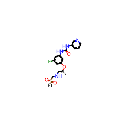 CCS(=O)(=O)CNC[C@@H](C)Oc1cc(F)cc(NC(=O)Nc2cccnc2)c1